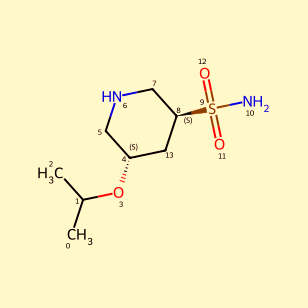 CC(C)O[C@@H]1CNC[C@@H](S(N)(=O)=O)C1